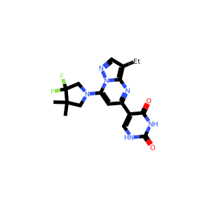 CCc1cnn2c(N3CC(C)(C)C(F)(F)C3)cc(-c3c[nH]c(=O)[nH]c3=O)nc12